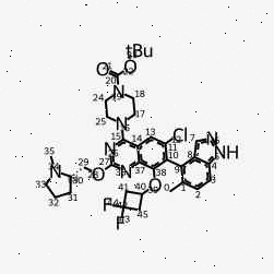 Cc1ccc2[nH]ncc2c1-c1c(Cl)cc2c(N3CCN(C(=O)OC(C)(C)C)CC3)nc(OC[C@@H]3CCCN3C)nc2c1OC1CC(F)(F)C1